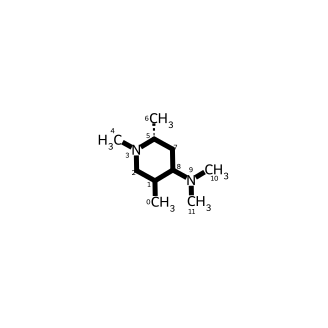 CC1CN(C)[C@H](C)CC1N(C)C